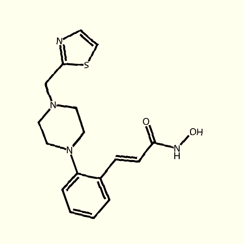 O=C(C=Cc1ccccc1N1CCN(Cc2nccs2)CC1)NO